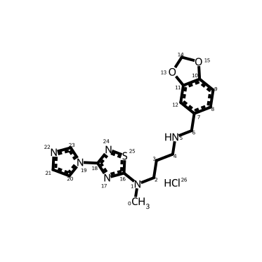 CN(CCCNCc1ccc2c(c1)OCO2)c1nc(-n2ccnc2)ns1.Cl